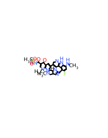 CNc1cc(F)c(C#N)c2c1[nH]c1ncc(-c3cnc4c(c3)c(=O)c(C(=O)NS(C)(=O)=O)cn4C)c(N3CCC4CN(C)C[C@H]43)c12